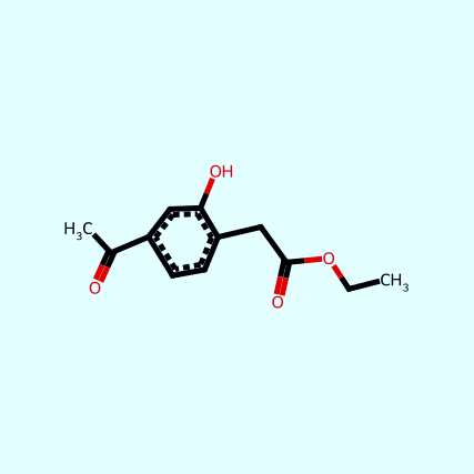 CCOC(=O)Cc1ccc(C(C)=O)cc1O